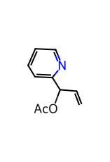 C=CC(OC(C)=O)c1ccccn1